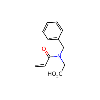 C=CC(=O)N(CC(=O)O)Cc1ccccc1